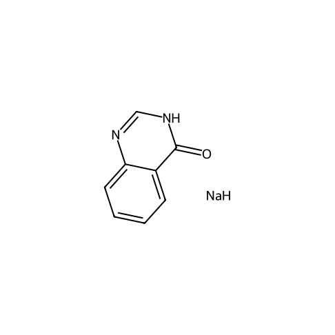 O=c1[nH]cnc2ccccc12.[NaH]